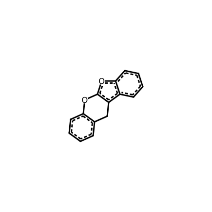 c1ccc2c(c1)Cc1c(oc3ccccc13)O2